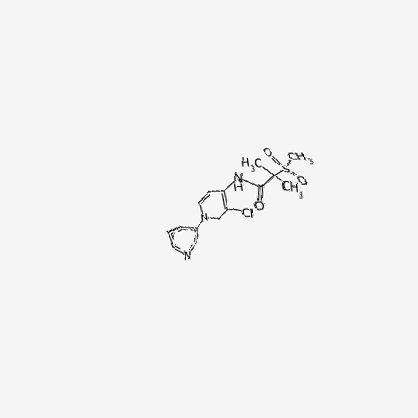 CC(C)(C(=O)NC1=C(Cl)CN(c2cccnc2)C=C1)S(C)(=O)=O